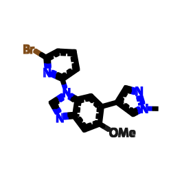 COc1cc2ncn(-c3cccc(Br)n3)c2cc1-c1cnn(C)c1